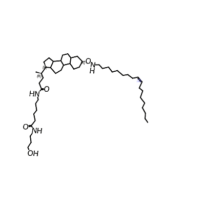 CCCCCCCC/C=C\CCCCCCCCNO[C@@H]1CCC2C(CCC3C2CCC2C3CC[C@@H]2[C@H](C)CCC(=O)NCCCCCC(=O)NCCCO)C1